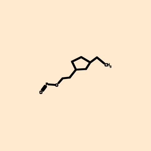 CCC1CCC(CCOP=O)C1